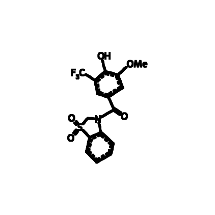 COc1cc(C(=O)N2CS(=O)(=O)c3ccccc32)cc(C(F)(F)F)c1O